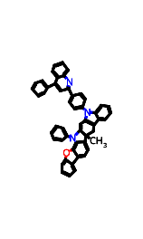 CC12Cc3c(n(-c4ccc(-c5cc(-c6ccccc6)c6ccccc6n5)cc4)c4ccccc34)C=C1N(c1ccccc1)c1c2ccc2c1oc1ccccc12